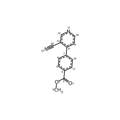 COC(=O)c1ccc(-c2ccncc2C#N)cc1